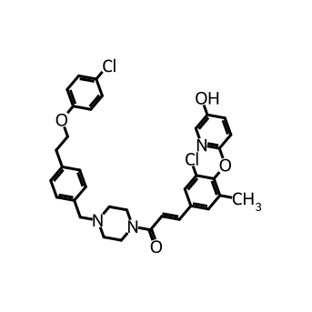 Cc1cc(/C=C/C(=O)N2CCN(Cc3ccc(CCOc4ccc(Cl)cc4)cc3)CC2)cc(Cl)c1Oc1ccc(O)cn1